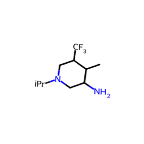 CC1C(N)CN(C(C)C)CC1C(F)(F)F